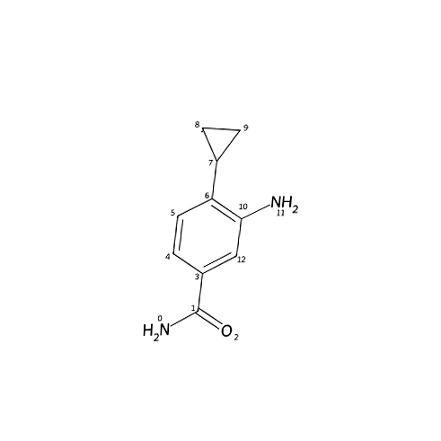 NC(=O)c1ccc(C2[CH]C2)c(N)c1